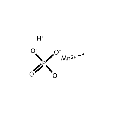 O=P([O-])([O-])[O-].[H+].[H+].[Mn+2]